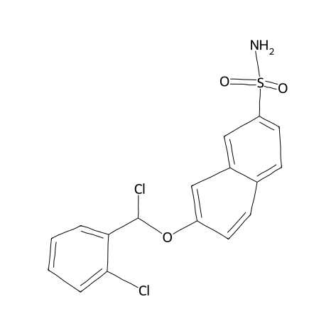 NS(=O)(=O)c1ccc2ccc(OC(Cl)c3ccccc3Cl)cc2c1